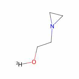 [2H]OCCN1CC1